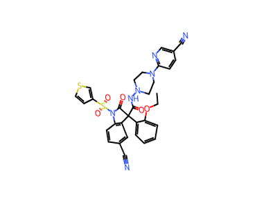 CCOc1ccccc1C1(C(=O)NN2CCN(c3ccc(C#N)cn3)CC2)C(=O)N(S(=O)(=O)c2ccsc2)c2ccc(C#N)cc21